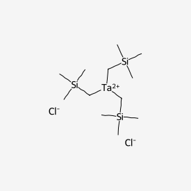 C[Si](C)(C)[CH2][Ta+2]([CH2][Si](C)(C)C)[CH2][Si](C)(C)C.[Cl-].[Cl-]